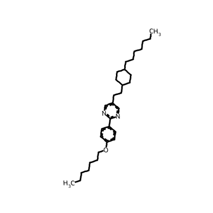 CCCCCCCOc1ccc(-c2ncc(CCC3CCC(CCCCCCC)CC3)cn2)cc1